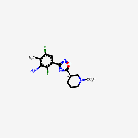 Cc1c(F)cc(-c2noc([C@@H]3CCCN(C(=O)O)C3)n2)c(F)c1N